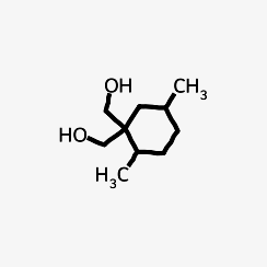 CC1CCC(C)C(CO)(CO)C1